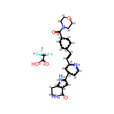 O=C(O)C(F)(F)F.O=C1NCCc2[nH]c(-c3ccnc(/C=C/c4ccc(C(=O)N5CCOCC5)cc4)c3)cc21